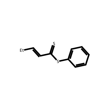 CC/C=C/C(=S)Sc1ccccc1